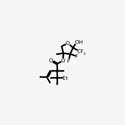 CCC(C)(C)C(C)(C=C(C)C)C(=O)OC1(C)COC(O)(C(F)(F)F)C1(F)F